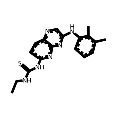 CCNC(=S)Nc1ccc2ncc(Nc3cccc(C)c3C)nc2n1